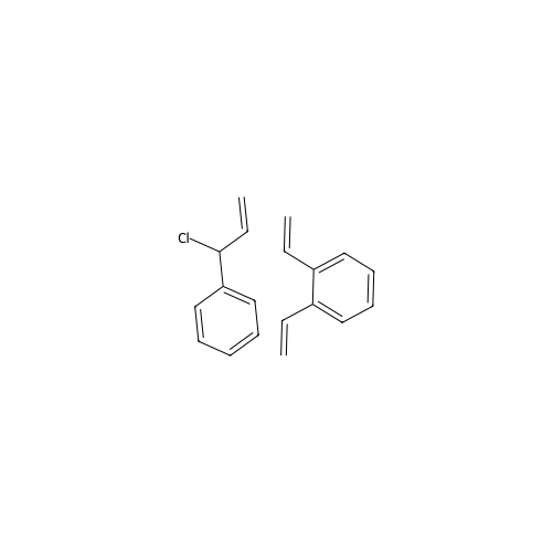 C=CC(Cl)c1ccccc1.C=Cc1ccccc1C=C